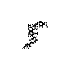 COC1CCN(CC(=O)Nc2cnc(C)c(NC(=O)c3cnn4cc(-c5cnn(C)c5)sc34)c2)CC1